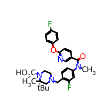 CN(C(=O)c1ccc(Oc2ccc(F)cc2)nc1)c1ccc(CN2CCN(C(=O)O)[C@@](C)(C(C)(C)C)C2)c(F)c1